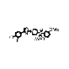 COc1ccc(OC)c(S(=O)(=O)C2CCN(c3nc(-c4ccc(Cl)c(F)c4)cs3)CC2)c1